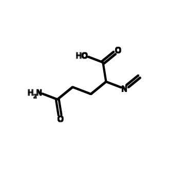 C=NC(CCC(N)=O)C(=O)O